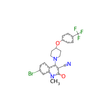 Cn1c(=O)c(C#N)c(N2CCC(Oc3ccc(C(F)(F)F)cc3)CC2)c2ccc(Br)cc21